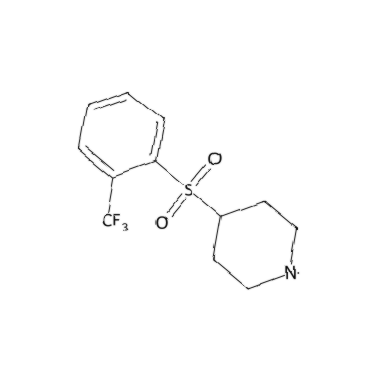 O=S(=O)(c1ccccc1C(F)(F)F)C1CC[N]CC1